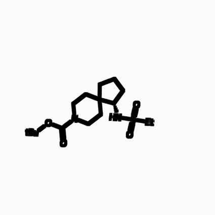 CCS(=O)(=O)N[C@H]1CCCC12CCN(C(=O)OC(C)(C)C)CC2